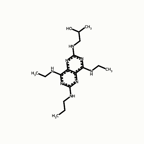 CCCNc1nc(NCC)c2nc(NCC(C)O)nc(NCC)c2n1